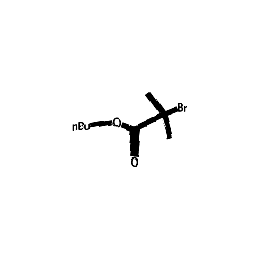 CCCCOC(=O)C(C)(C)Br